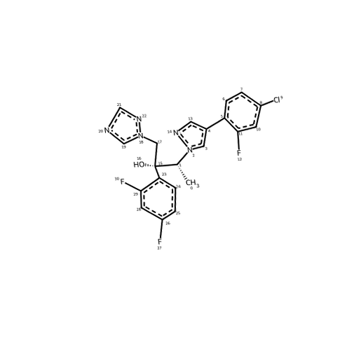 C[C@@H](n1cc(-c2ccc(Cl)cc2F)cn1)[C@](O)(Cn1cncn1)c1ccc(F)cc1F